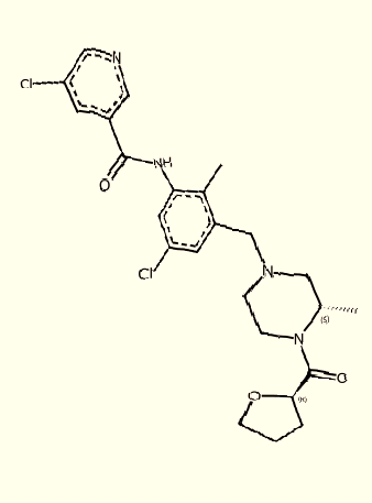 Cc1c(CN2CCN(C(=O)[C@H]3CCCO3)[C@@H](C)C2)cc(Cl)cc1NC(=O)c1cncc(Cl)c1